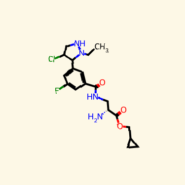 CCN1NCC(Cl)C1c1cc(F)cc(C(=O)NC[C@@H](N)C(=O)OCC2CC2)c1